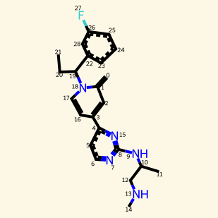 C=C1C=C(c2ccnc(NC(C)CNC)n2)C=CN1C(CC)c1cccc(F)c1